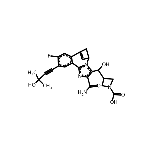 CC(C)(O)C#Cc1cc2c(cc1F)C1=CC(C1)n1c-2nc(C(N)=O)c1C(O)C1CN(C(=O)O)C1